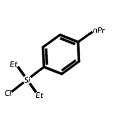 CCCc1ccc([Si](Cl)(CC)CC)cc1